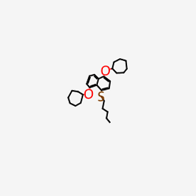 CCCCCSc1ccc(OC2CCCCCC2)c2cccc(OC3CCCCCC3)c12